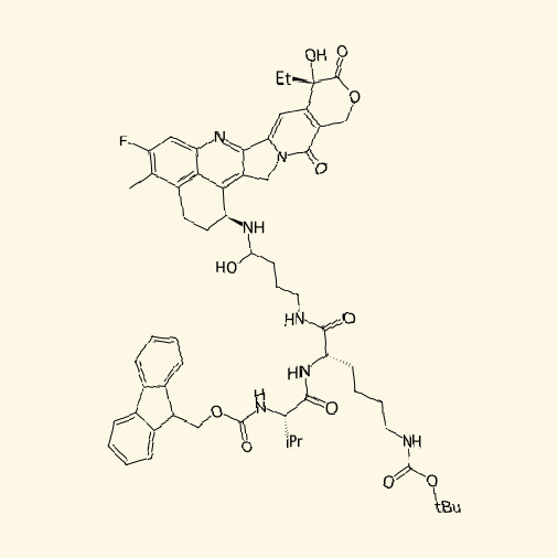 CC[C@@]1(O)C(=O)OCc2c1cc1n(c2=O)Cc2c-1nc1cc(F)c(C)c3c1c2[C@@H](NC(O)CCCNC(=O)[C@H](CCCCNC(=O)OC(C)(C)C)NC(=O)[C@@H](NC(=O)OCC1c2ccccc2-c2ccccc21)C(C)C)CC3